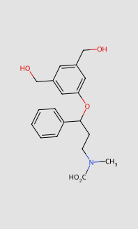 CN(CCC(Oc1cc(CO)cc(CO)c1)c1ccccc1)C(=O)O